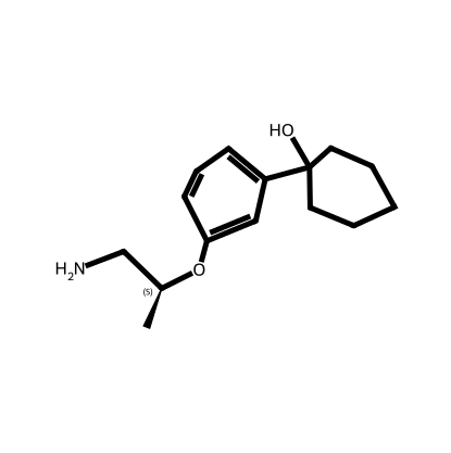 C[C@@H](CN)Oc1cccc(C2(O)CCCCC2)c1